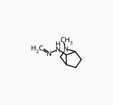 C=NNC1C2CCC1N(C)C2